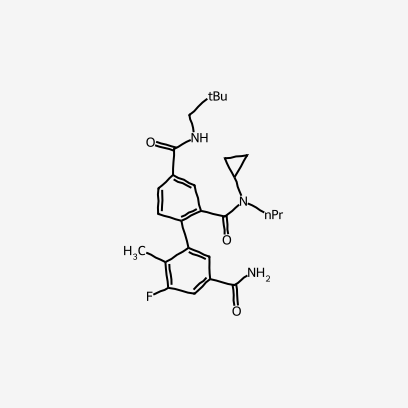 CCCN(C(=O)c1cc(C(=O)NCC(C)(C)C)ccc1-c1cc(C(N)=O)cc(F)c1C)C1CC1